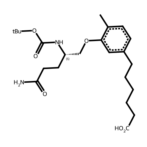 Cc1ccc(CCCCCC(=O)O)cc1OC[C@H](CCC(N)=O)NC(=O)OC(C)(C)C